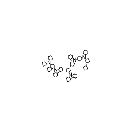 c1ccc(-c2cccc(N(c3ccccc3)c3ccc(-n4c5ccccc5c5cc(-c6cc(-c7ccc8c(c7)c7ccccc7n8-c7ccc(N(c8ccccc8)c8ccccc8)c8ccccc78)cc(-n7c8ccccc8c8ccccc87)c6)ccc54)cc3)c2)cc1